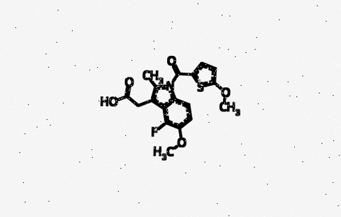 COc1ccc(C(=O)n2c(C)c(CC(=O)O)c3c(F)c(OC)ccc32)s1